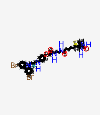 O=C(CCCC[C@H]1SC[C@H]2NC(=O)N[C@H]21)NCCNC(=O)COc1ccc(NCC(F)Cn2c3ccc(Br)cc3c3cc(Br)ccc32)cc1